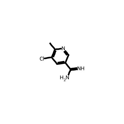 Cc1ncc(C(=N)N)cc1Cl